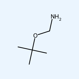 CC(C)(C)OCN